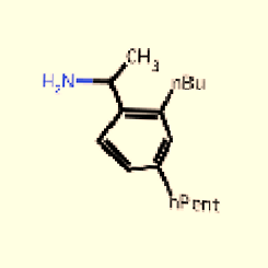 CCCCCc1ccc(C(C)N)c(CCCC)c1